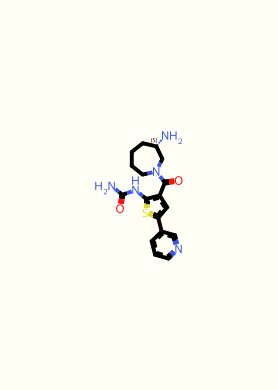 NC(=O)Nc1sc(-c2cccnc2)cc1C(=O)N1CCCC[C@H](N)C1